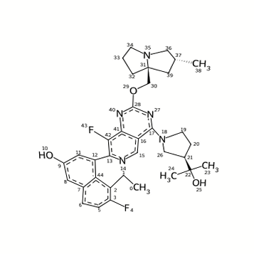 CCc1c(F)ccc2cc(O)cc(-c3ncc4c(N5CC[C@@H](C(C)(C)O)C5)nc(OC[C@@]56CCCN5C[C@H](C)C6)nc4c3F)c12